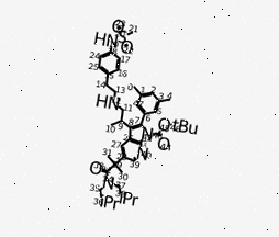 Cc1cc(C)cc(-c2c(C(C)CNCCc3ccc(NS(C)(=O)=O)cc3)c3cc(C(C)(C)C(=O)N(CC(C)C)CC(C)C)cnc3n2C(=O)OC(C)(C)C)c1